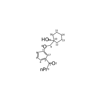 CCCC(=O)c1cccc(OCC2(O)CCCCC2)c1